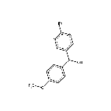 CC(C)c1ncc(C(O)c2ccc(OC(F)(F)F)cc2)cn1